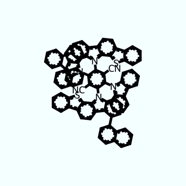 N#Cc1c(-n2c3ccccc3c3ccccc32)c(-n2c3cccc(-c4cccc5ccccc45)c3c3ccc4c5ccccc5sc4c32)c(C#N)c(-n2c3ccccc3c3ccccc32)c1-n1c2cc(-c3ccccc3-c3ccccc3)ccc2c2ccc3c4ccccc4sc3c21